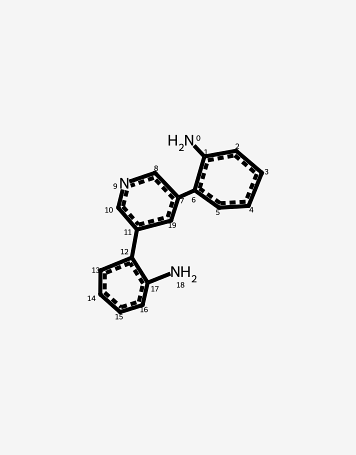 Nc1ccccc1-c1cncc(-c2ccccc2N)c1